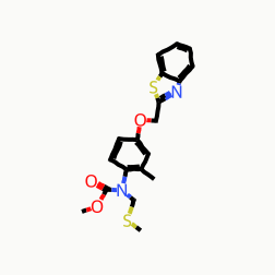 COC(=O)N(CSC)c1ccc(OCc2nc3ccccc3s2)cc1C